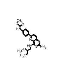 CCC(CNc1nc(N)nc2ccc(-c3ccc(NC(=O)OC)cc3)nc12)OC